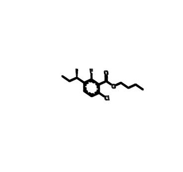 CCCCOC(=O)c1c(Cl)ccc([C@H](C)CC)c1F